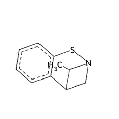 CC1C2CN1Sc1ccccc12